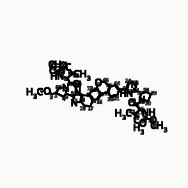 COC[C@@H]1CC(c2nc3c([nH]2)-c2cc4c(cc2CC3)-c2ccc(-c3cnc([C@@H]5CCCN5C(=O)[C@@H](NC(=O)OC)C(C)C)[nH]3)cc2CO4)N(C(=O)[C@@H](NC(=O)OC)C(C)C)C1